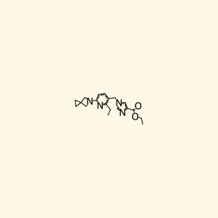 CCOC(=O)c1cn(Cc2ccc(N3CC4(CC4)C3)nc2CC)cn1